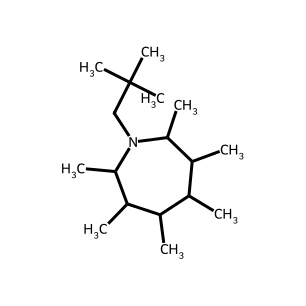 CC1C(C)C(C)C(C)N(CC(C)(C)C)C(C)C1C